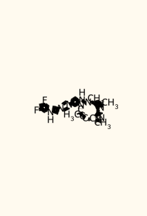 C=C1/N=C2\Nc3ccc(N4CCN([C@H]5C[C@@H](Nc6cc(F)cc(F)c6)C5)CC4)cc3N2C[C@H](C)CCCCc2c(cnn2C)-c2cc1cc(C)n2